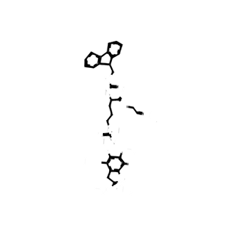 C=CCOC(=O)C(CCCNC(=S)NSc1c(C)c(C)c2c(c1C)CC(C)(C)O2)NC(=O)OCC1c2ccccc2-c2ccccc21